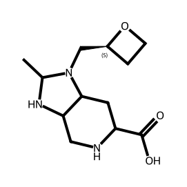 CC1NC2CNC(C(=O)O)CC2N1C[C@@H]1CCO1